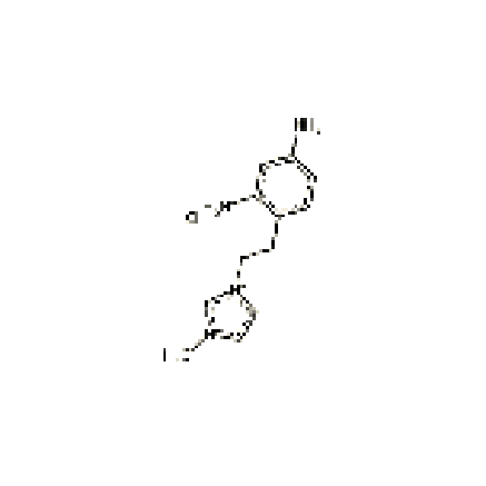 Cn1cc[n+](CCc2ccc(N)cc2N)c1.[Cl-]